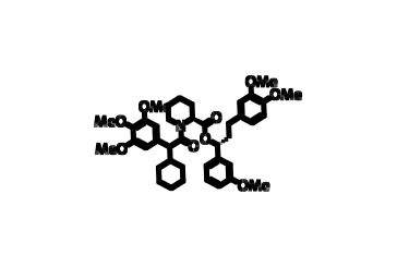 COc1cccc([C@@H](CCc2ccc(OC)c(OC)c2)OC(=O)[C@@H]2CCCCN2C(=O)C(c2cc(OC)c(OC)c(OC)c2)C2CCCCC2)c1